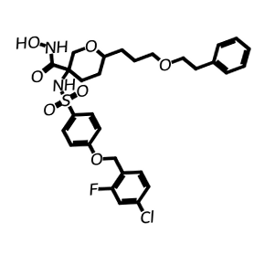 O=C(NO)C1(NS(=O)(=O)c2ccc(OCc3ccc(Cl)cc3F)cc2)CCC(CCCOCCc2ccccc2)OC1